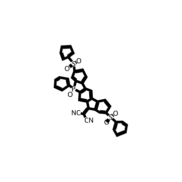 N#CC(C#N)=C1c2cc(S(=O)(=O)c3ccccc3)ccc2-c2cc3c(cc21)P(=O)(c1ccccc1)c1cc(S(=O)(=O)c2ccccc2)ccc1-3